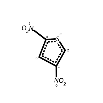 O=[N+]([O-])c1csc([N+](=O)[O-])c1